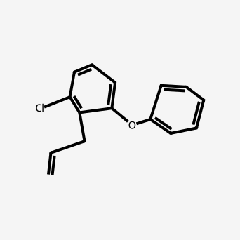 C=CCc1c(Cl)cccc1Oc1ccccc1